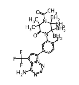 BC1(B)N(c2cc(-c3cc(C(F)(F)F)c4c(N)ncnn34)ccc2F)C(=O)C(C)(C)N(C(C)=O)C1(B)B